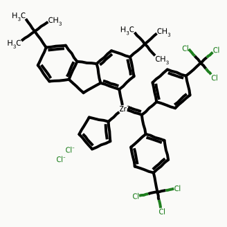 CC(C)(C)c1ccc2c(c1)-c1cc(C(C)(C)C)c[c]([Zr+2]([C]3=CC=CC3)=[C](c3ccc(C(Cl)(Cl)Cl)cc3)c3ccc(C(Cl)(Cl)Cl)cc3)c1C2.[Cl-].[Cl-]